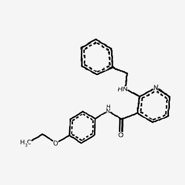 CCOc1ccc(NC(=O)c2cccnc2NCc2ccccc2)cc1